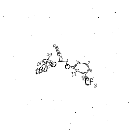 C#CC(COc1cccc(C(F)(F)F)c1)O[Si](C)(C)C(C)(C)C